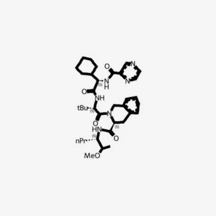 CCC[C@H](NC(=O)[C@@H]1Cc2ccccc2CN1C(=O)[C@@H](NC(=O)[C@@H](NC(=O)c1cnccn1)C1CCCCC1)C(C)(C)C)C(C)OC